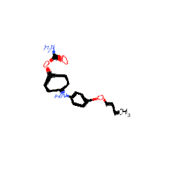 CCCCOc1ccc(NC2CCC(OC(N)=O)CC2)cc1